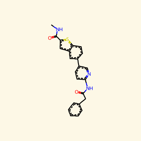 CNC(=O)c1cc2cc(-c3ccc(NC(=O)Cc4ccccc4)nc3)ccc2s1